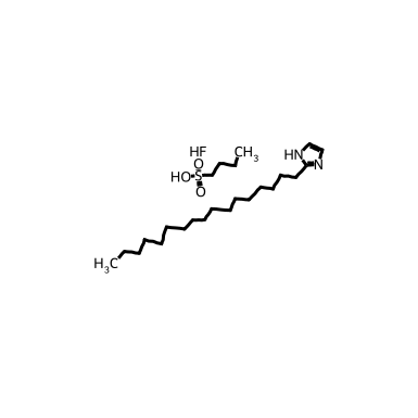 CCCCCCCCCCCCCCCCCc1ncc[nH]1.CCCCS(=O)(=O)O.F